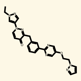 CCn1cc(-n2ccc(=O)c(Cc3cccc(-c4ncc(OCCn5cccn5)cn4)c3)n2)cn1